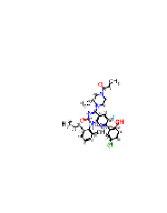 C=CC(=O)N1CCN(c2nc(=O)n(-c3c(C)cccc3CCC)c3nc(-c4cc(Cl)ccc4O)c(F)cc23)[C@@H](C)C1